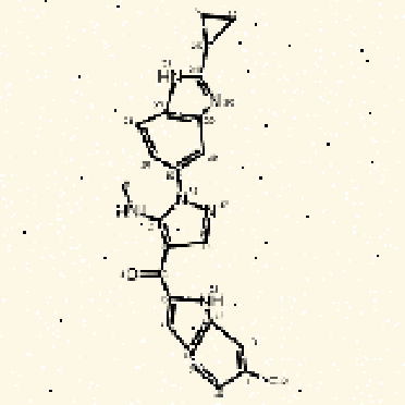 CNc1c(C(=O)c2cc3ccc(F)cc3[nH]2)cnn1-c1ccc2[nH]c(C3CC3)nc2c1